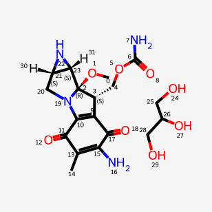 CO[C@@]12[C@H](COC(N)=O)C3=C(C(=O)C(C)=C(N)C3=O)N1C[C@@H]1N[C@@H]12.OCC(O)CO